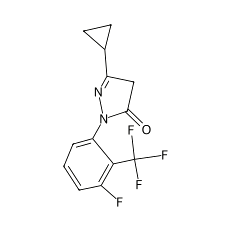 O=C1CC(C2CC2)=NN1c1cccc(F)c1C(F)(F)F